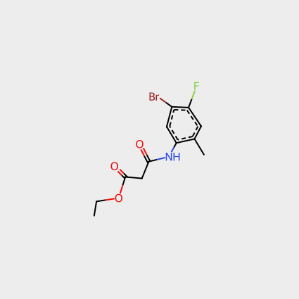 CCOC(=O)CC(=O)Nc1cc(Br)c(F)cc1C